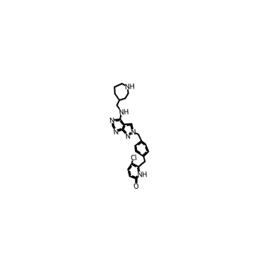 O=c1ccc(Cl)c(Cc2ccc(Cn3cc4c(NCC5CCCNCC5)ncnc4n3)cc2)[nH]1